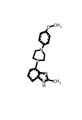 COc1ccc(N2CCN(c3cccc4[nH]c(C)nc34)CC2)cc1